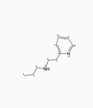 CCCNCCc1ccccn1